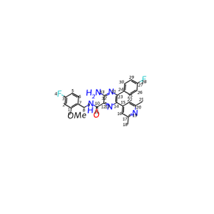 COc1cc(F)ccc1CNC(=O)c1nc(-c2cc(C)nc(C)c2)c(-c2ccc(F)cc2)nc1N